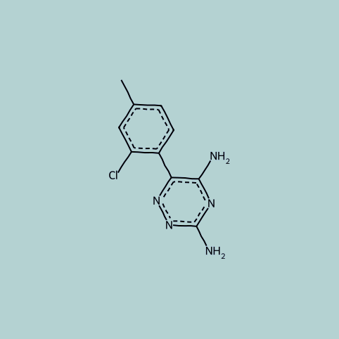 Cc1ccc(-c2nnc(N)nc2N)c(Cl)c1